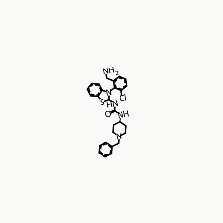 NCc1cccc(Cl)c1N1c2ccccc2SC1NC(=O)NC1CCN(Cc2ccccc2)CC1